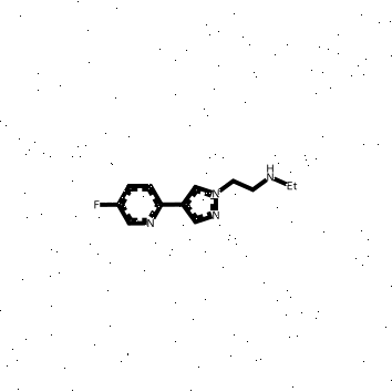 CCNCCn1cc(-c2ccc(F)cn2)cn1